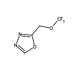 FC(F)(F)OCc1nn[c]o1